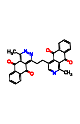 Cc1ncc(CCc2nnc(C)c3c2C(=O)c2ccccc2C3=O)c2c1C(=O)c1ccccc1C2=O